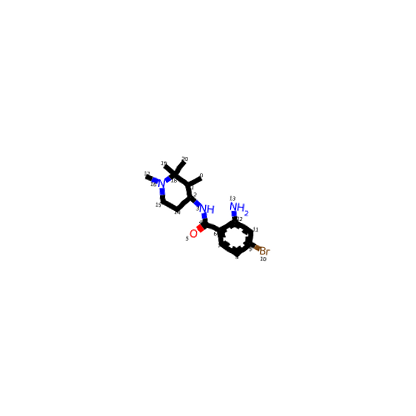 CC1C(NC(=O)c2ccc(Br)cc2N)CCN(C)C1(C)C